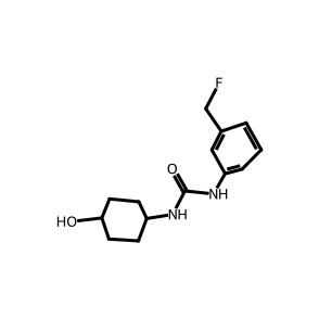 O=C(Nc1cccc(CF)c1)NC1CCC(O)CC1